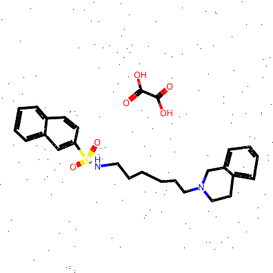 O=C(O)C(=O)O.O=S(=O)(NCCCCCCN1CCc2ccccc2C1)c1ccc2ccccc2c1